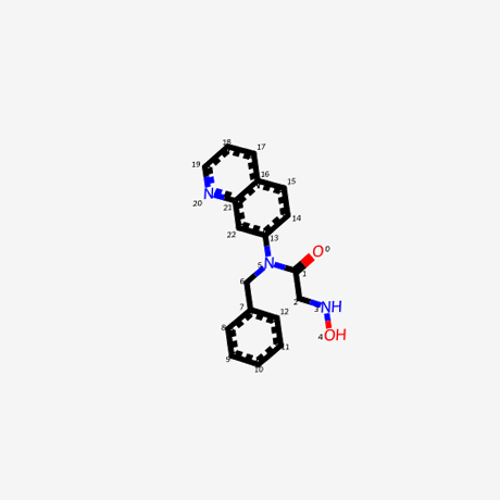 O=C(CNO)N(Cc1ccccc1)c1ccc2cccnc2c1